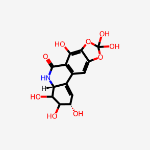 O=C1N[C@@H]2C(=C[C@H](O)C(O)C2O)c2cc3c(c(O)c21)OC(O)(O)O3